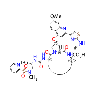 COc1ccc2c(O[C@@H]3C[C@H]4C(=O)N[C@]5(C(=O)O)CC5CCCCCCC[C@H](NC(=O)NC(CN(C)S(=O)(=O)c5ccccn5)C(C)(C)C)C(=O)N4C3)cc(-c3csc(NC(C)C)n3)nc2c1